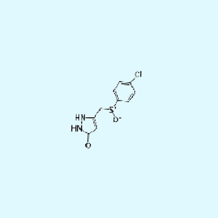 O=c1cc(C[S+]([O-])c2ccc(Cl)cc2)[nH][nH]1